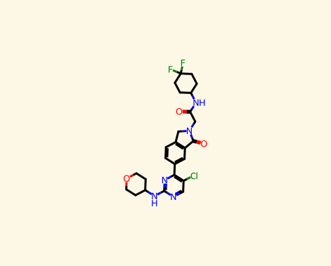 O=C(CN1Cc2ccc(-c3nc(NC4CCOCC4)ncc3Cl)cc2C1=O)NC1CCC(F)(F)CC1